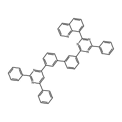 c1ccc(-c2cc(-c3cccc(-c4cccc(-c5nc(-c6ccccc6)nc(-c6cccc7cccnc67)n5)c4)c3)nc(-c3ccccc3)n2)cc1